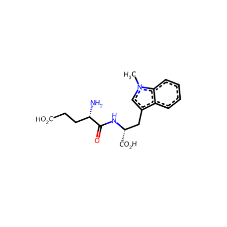 Cn1cc(C[C@@H](NC(=O)[C@@H](N)CCC(=O)O)C(=O)O)c2ccccc21